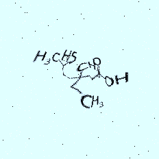 CCC(C)(CC(=O)O)CC(C)S